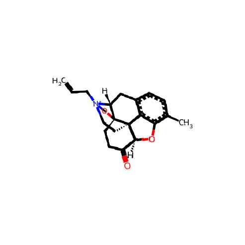 C=CC[N+]12CC[C@]34c5c6ccc(C)c5O[C@H]3C(=O)CC[C@@]4(OC1)[C@H]2C6